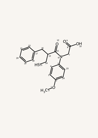 COc1ccc(N(CC(=O)O)C(=O)C(CS)Cc2ccccc2)cc1